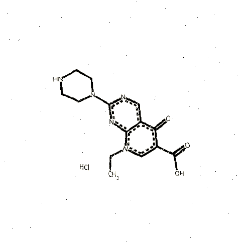 CCn1cc(C(=O)O)c(=O)c2cnc(N3CCNCC3)nc21.Cl